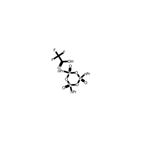 CCCP1(=O)OP(=O)(CCC)OP(=O)(CCC)O1.O=C(O)C(F)(F)F